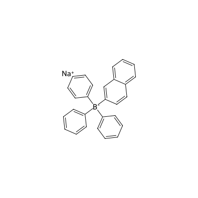 [Na+].c1ccc([B-](c2ccccc2)(c2ccccc2)c2ccc3ccccc3c2)cc1